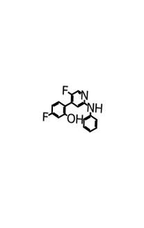 Oc1cc(F)ccc1-c1cc(Nc2ccccc2)ncc1F